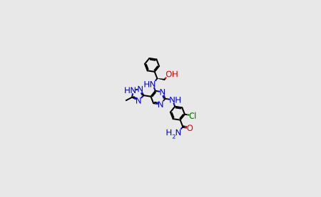 Cc1nc(-c2cnc(Nc3ccc(C(N)=O)c(Cl)c3)nc2N[C@H](CO)c2ccccc2)n[nH]1